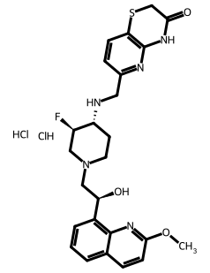 COc1ccc2cccc([C@H](O)CN3CC[C@@H](NCc4ccc5c(n4)NC(=O)CS5)[C@H](F)C3)c2n1.Cl.Cl